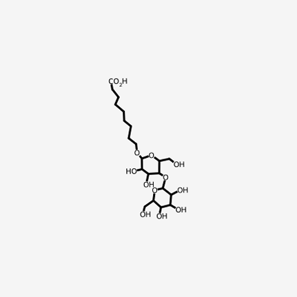 O=C(O)CCCCCCCCOC1OC(CO)C(OC2OC(CO)C(O)C(O)C2O)C(O)C1O